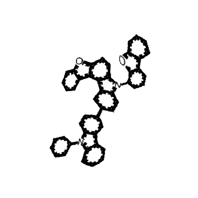 c1ccc(-n2c3ccccc3c3cc(-c4ccc5c(c4)c4c6c(ccc4n5-c4cccc5c4oc4ccccc45)oc4ccccc46)ccc32)cc1